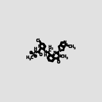 C[C@@H](Nc1ccc(Cl)nc1C(=O)NS(C)(=O)=O)c1cccc2c(=O)n(C)c(N3Cc4cnn(C)c4C3)nc12